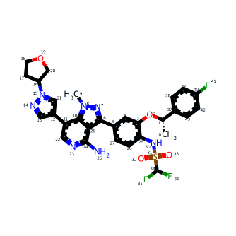 C[C@H](Oc1cc(-c2nn(C)c3c(-c4cnn(C5CCOC5)c4)cnc(N)c23)ccc1NS(=O)(=O)C(F)F)c1ccc(F)cc1